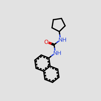 O=C(Nc1cccc2ccccc12)NC1CCCC1